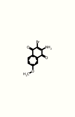 COc1ccc2c(c1)C(=O)C(N)=C(Br)C2=O